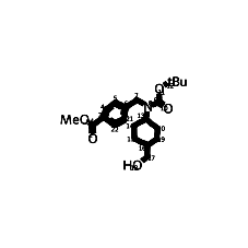 COC(=O)c1ccc(CN(C(=O)OC(C)(C)C)C2CCC(CO)CC2)cc1